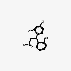 O=[N+]([O-])CC(c1ccccc1O)c1ccc(Cl)cc1Cl